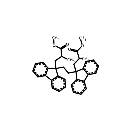 COC(=O)C(C)CC1(CCC2(CC(C)C(=O)OC)c3ccccc3-c3ccccc32)c2ccccc2-c2ccccc21